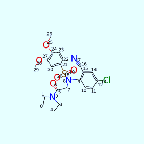 CCN(CC)C(=O)CN(c1ccc(Cl)cc1C#N)S(=O)(=O)c1ccc(OC)c(OC)c1